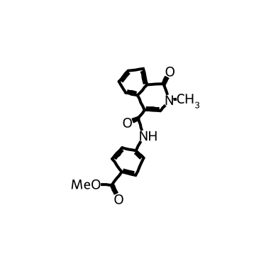 COC(=O)c1ccc(NC(=O)c2cn(C)c(=O)c3ccccc23)cc1